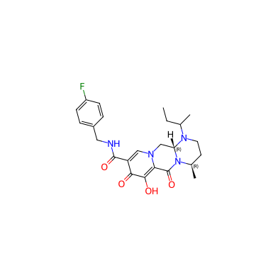 CCC(C)N1CC[C@@H](C)N2C(=O)c3c(O)c(=O)c(C(=O)NCc4ccc(F)cc4)cn3C[C@H]12